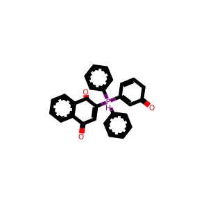 O=C1C=C([PH](C2=CC(=O)c3ccccc3C2=O)(c2ccccc2)c2ccccc2)C=CC1